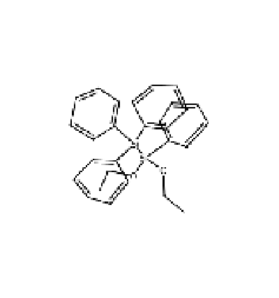 CCO[Si](OCC)(c1ccccc1)[Si](c1ccccc1)(c1ccccc1)c1ccccc1